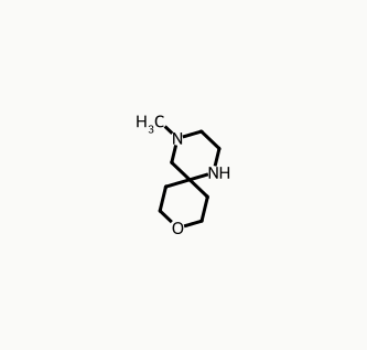 CN1CCNC2(CCOCC2)C1